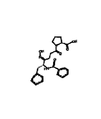 O=C(N[C@H](Cc1ccccc1)C(CCC(=O)N1CCC[C@H]1C(=O)O)=NO)c1ccccc1